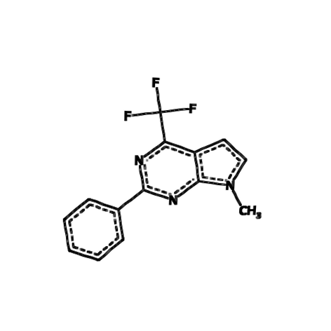 Cn1ccc2c(C(F)(F)F)nc(-c3ccccc3)nc21